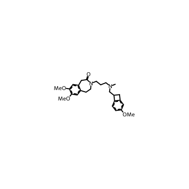 COc1ccc2c(c1)CC2CN(C)CCCN1CCc2cc(OC)c(OC)cc2CC1=O